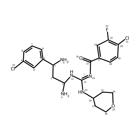 NC(CC(N)c1cccc(Cl)c1)N/C(=N\C(=O)c1ccc(Cl)c(F)c1)NC1CCOCC1